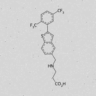 O=C(O)CCNCc1ccc2sc(-c3cc(C(F)(F)F)ccc3C(F)(F)F)cc2c1